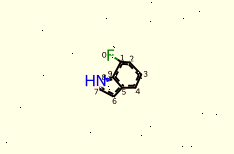 Fc1c[c]cc2cc[nH]c12